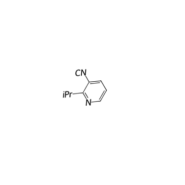 [C-]#[N+]c1cccnc1C(C)C